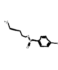 CCCCOS(=O)c1ccc(C)cc1